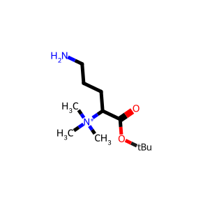 CC(C)(C)OC(=O)C(CCCN)[N+](C)(C)C